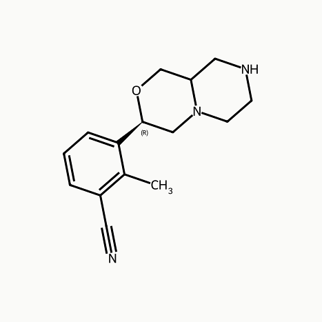 Cc1c(C#N)cccc1[C@@H]1CN2CCNCC2CO1